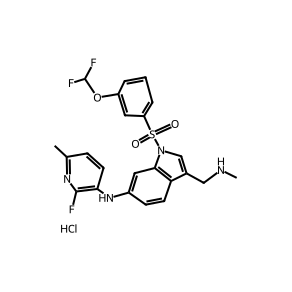 CNCc1cn(S(=O)(=O)c2cccc(OC(F)F)c2)c2cc(Nc3ccc(C)nc3F)ccc12.Cl